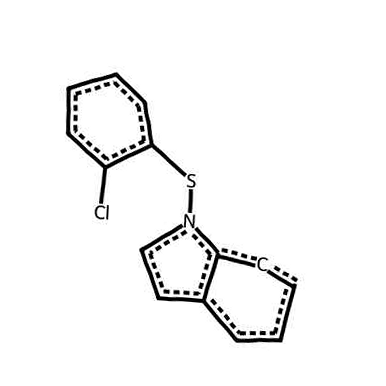 Clc1ccccc1Sn1ccc2ccccc21